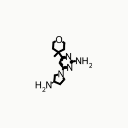 CC1(c2cc(N3CC[C@@H](N)C3)nc(N)n2)CCOCC1